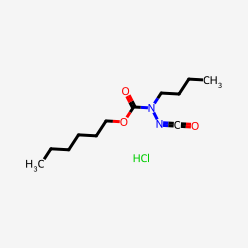 CCCCCCOC(=O)N(CCCC)N=C=O.Cl